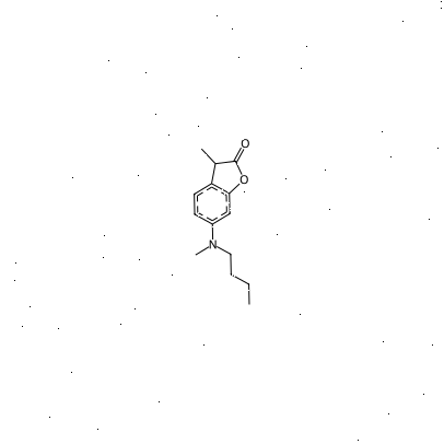 CCCCN(C)c1ccc2c(c1)OC(=O)C2C